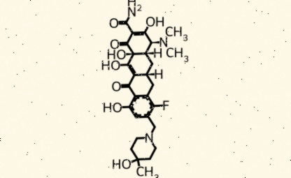 CN(C)[C@@H]1C(O)=C(C(N)=O)C(=O)[C@@]2(O)C(O)=C3C(=O)c4c(O)cc(CN5CCC(C)(O)CC5)c(F)c4C[C@H]3C[C@@H]12